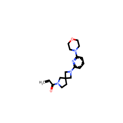 C=CC(=O)N1CCC2(C1)CN(c1cccc(N3CCOCC3)n1)C2